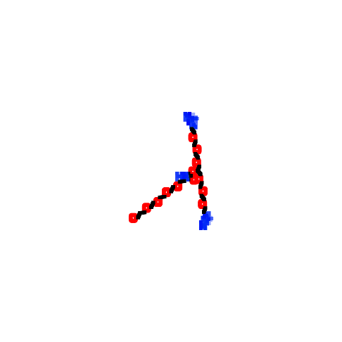 [N-]=[N+]=NCCOCCOCCOCC(COCCOCCOCCN=[N+]=[N-])OC(=O)NCCOCCOCCOCCOCCC=O